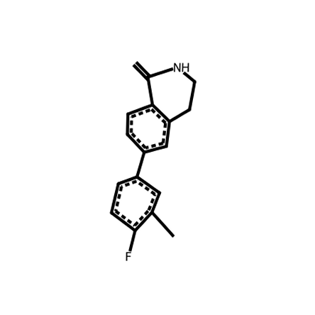 C=C1NCCc2cc(-c3ccc(F)c(C)c3)ccc21